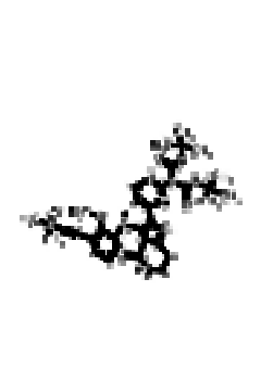 COc1c(C#C[Si](C)(C)C)cccc1Nc1c(-c2ccnc(N(C(=O)OC(C)(C)C)C(=O)OC(C)(C)C)n2)[nH]c2c1C(=O)NCC2